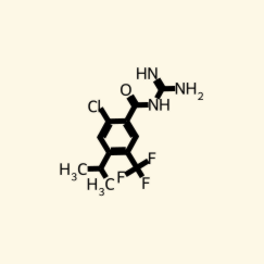 CC(C)c1cc(Cl)c(C(=O)NC(=N)N)cc1C(F)(F)F